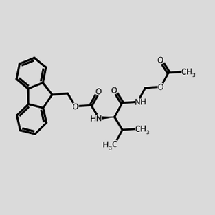 CC(=O)OCNC(=O)[C@H](NC(=O)OCC1c2ccccc2-c2ccccc21)C(C)C